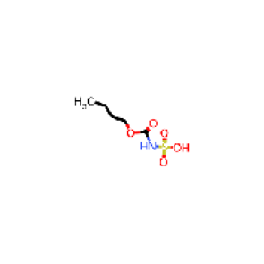 CCCCOC(=O)NS(=O)(=O)O